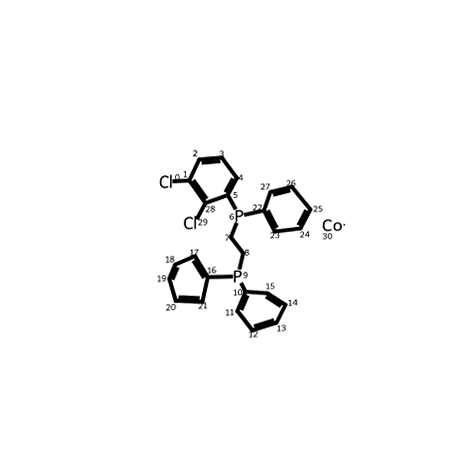 Clc1cccc(P(CCP(c2ccccc2)c2ccccc2)c2ccccc2)c1Cl.[Co]